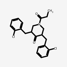 CCC(=O)N1CC(Cc2ccccc2Cl)C(=O)C(Cc2ccccc2Cl)C1